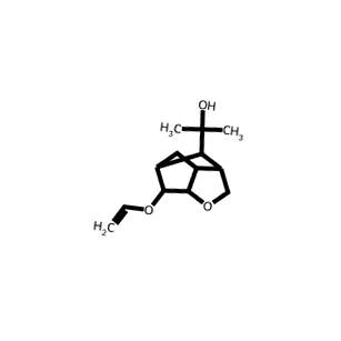 C=COC1C2CC3C(COC31)C2C(C)(C)O